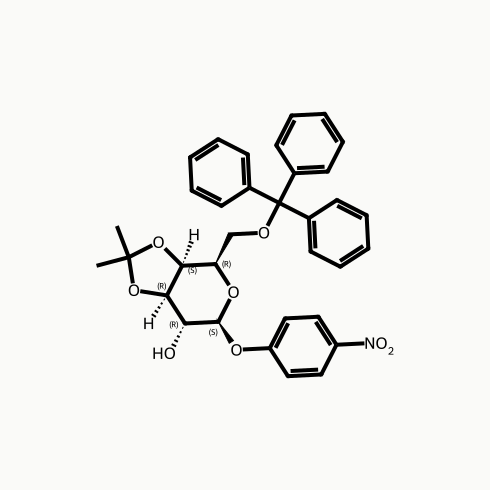 CC1(C)O[C@@H]2[C@@H](O)[C@H](Oc3ccc([N+](=O)[O-])cc3)O[C@H](COC(c3ccccc3)(c3ccccc3)c3ccccc3)[C@@H]2O1